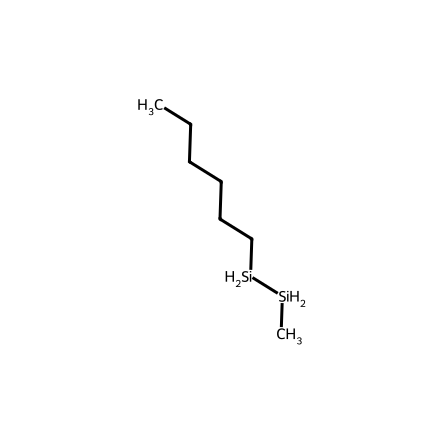 CCCCCC[SiH2][SiH2]C